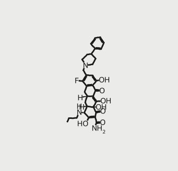 CCCN[C@@H]1C(O)=C(C(N)=O)C(=O)[C@@]2(O)C(O)=C3C(=O)c4c(O)cc(CN5CCC(c6ccccc6)CC5)c(F)c4C[C@H]3C[C@@H]12